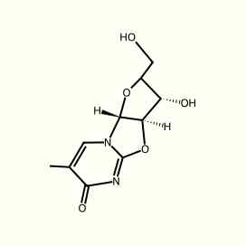 Cc1cn2c(nc1=O)O[C@H]1[C@H]2OC(CO)[C@@H]1O